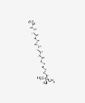 C[Si](C)(Cl)CCCCCCCCCCCCCCCCCCCCl